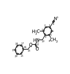 Cc1cc(C#N)cc(C)c1CNC(=O)OCc1ccccc1